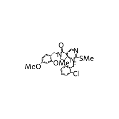 COc1ccc(CN2CC(c3cccc(Cl)c3F)c3nc(SC)ncc3C2=O)c(OC)c1